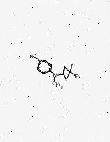 CN(c1ccc(C#N)cc1)C1CC(F)(F)C1